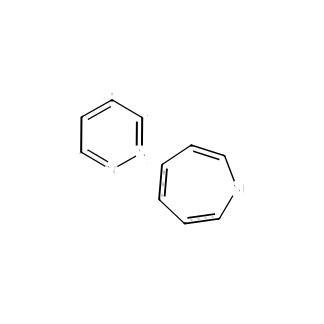 C1=CC=CNC=C1.c1ccnnc1